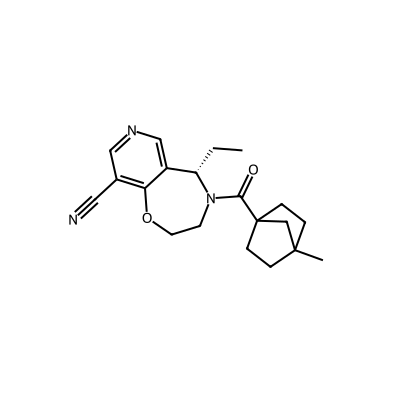 CC[C@H]1c2cncc(C#N)c2OCCN1C(=O)C12CCC(C)(CC1)C2